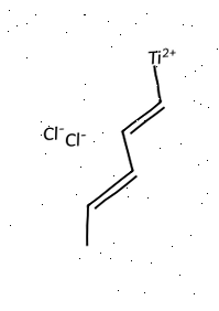 CC=CC=[CH][Ti+2].[Cl-].[Cl-]